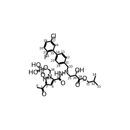 CC(=O)c1cc(C(=O)NN(Cc2ccc(-c3cc(Cl)ccc3F)cc2)C[C@@H](O)C(=O)OCC(C)C)n(COP(=O)(O)O)n1